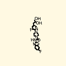 O=C(Nc1nc2ccc(F)cc2s1)N1CCN(c2ncc(C[C@H](O)CO)cc2F)CC1